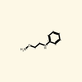 NOCCNc1ccccc1